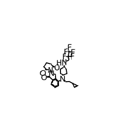 O=C1c2cccc(N(CCC3CC3)C3CCC(NCC(F)(F)C(F)(F)F)CC3)c2CN1N1C(=O)CCCC1=O